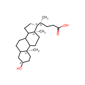 C[C@H](CCC(=O)O)[C@H]1CCC2C3CCC4C[C@H](O)CC[C@]4(C)C3CC[C@@]21C